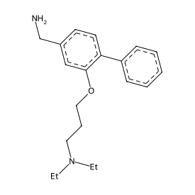 CCN(CC)CCCOc1cc(CN)ccc1-c1ccccc1